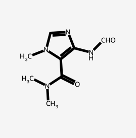 CN(C)C(=O)c1c(NC=O)ncn1C